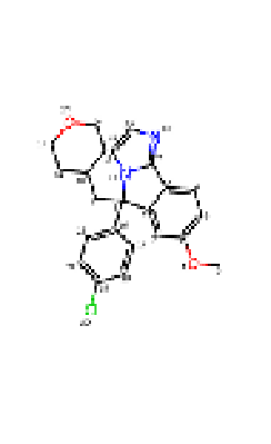 COc1ccc2c(c1)C(CC1CCOCC1)(c1ccc(Cl)cc1)n1ccnc1-2